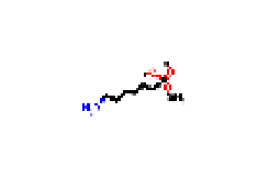 COC(CCCCCCN)(OC)O[SiH3]